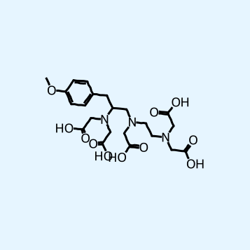 COc1ccc(CC(CN(CCN(CC(=O)O)CC(=O)O)CC(=O)O)N(CC(=O)O)CC(=O)O)cc1